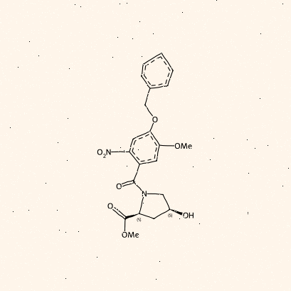 COC(=O)[C@@H]1C[C@H](O)CN1C(=O)c1cc(OC)c(OCc2ccccc2)cc1[N+](=O)[O-]